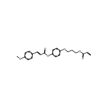 C=CC(=O)OCCCOc1ccc(OC(=O)/C=C/c2ccc(OC)cc2)cc1